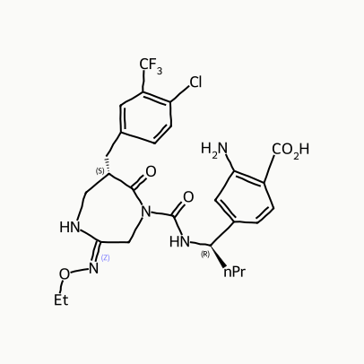 CCC[C@@H](NC(=O)N1C/C(=N/OCC)NC[C@H](Cc2ccc(Cl)c(C(F)(F)F)c2)C1=O)c1ccc(C(=O)O)c(N)c1